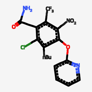 CCCCc1c(Cl)c(C(N)=O)c(C(F)(F)F)c([N+](=O)[O-])c1Oc1ccccn1